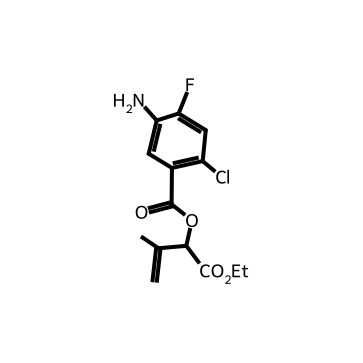 C=C(C)C(OC(=O)c1cc(N)c(F)cc1Cl)C(=O)OCC